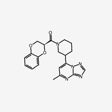 Cc1cc(C2CCCN(C(=O)[C@@H]3COc4ccccc4O3)C2)n2ncnc2n1